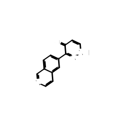 O=c1cc[nH]nc1-c1ccc2cnccc2c1